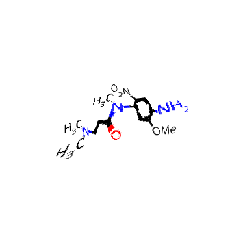 COc1cc(N(C)C(=O)CCN(C)C)c([N+](=O)[O-])cc1N